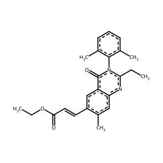 CCOC(=O)C=Cc1cc2c(=O)n(-c3c(C)cccc3C)c(CC)nc2cc1C